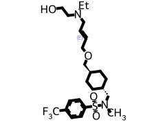 CCN(C/C=C/COC[C@H]1CC[C@H](CN(C)S(=O)(=O)c2ccc(C(F)(F)F)cc2)CC1)CCO